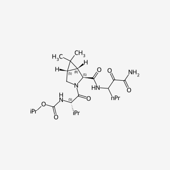 CCCC(NC(=O)[C@@H]1[C@@H]2[C@H](CN1C(=O)[C@@H](NC(=O)OC(C)C)C(C)C)C2(C)C)C(=O)C(N)=O